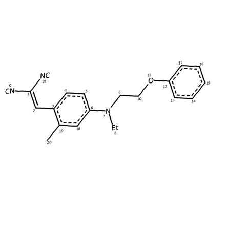 [C-]#[N+]C(=Cc1ccc(N(CC)CCOc2ccccc2)cc1C)[N+]#[C-]